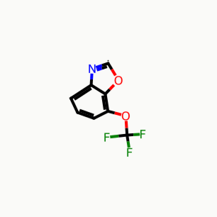 FC(F)(F)Oc1cccc2n[c]oc12